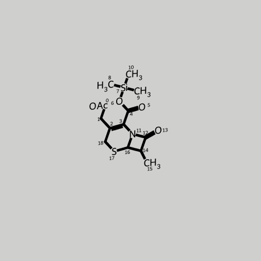 CC(=O)OCC1=C(C(=O)O[Si](C)(C)C)N2C(=O)C(C)C2SC1